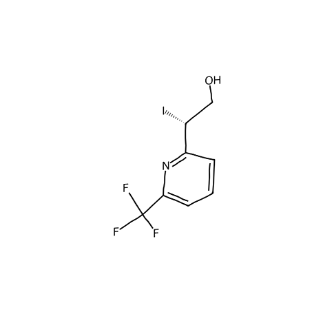 OC[C@@H](I)c1cccc(C(F)(F)F)n1